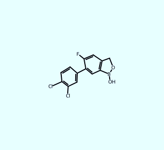 OB1OCc2cc(F)c(-c3ccc(Cl)c(Cl)c3)cc21